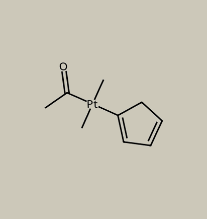 C[C](=O)[Pt]([CH3])([CH3])[C]1=CC=CC1